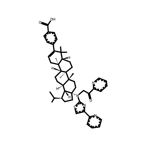 CC(C)[C@@H]1CC[C@]2(N(CC(=O)c3ccccn3)c3nc(-c4ccccn4)cs3)CC[C@]3(C)[C@H](CC[C@@H]4[C@@]5(C)CC=C(c6ccc(C(=O)O)cc6)C(C)(C)[C@@H]5CC[C@]43C)[C@@H]12